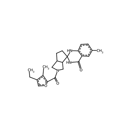 CCc1coc(C(=O)N2CC3CCC4(NC(=O)c5cc(C)ccc5N4)C3C2)c1C